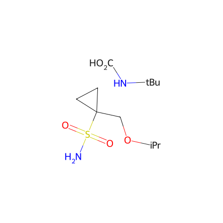 CC(C)(C)NC(=O)O.CC(C)OCC1(S(N)(=O)=O)CC1